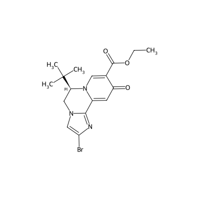 CCOC(=O)c1cn2c(cc1=O)-c1nc(Br)cn1C[C@H]2C(C)(C)C